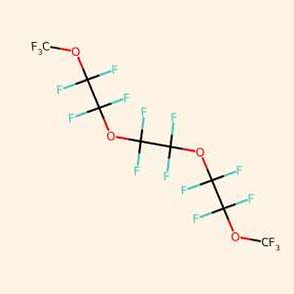 FC(F)(F)OC(F)(F)C(F)(F)OC(F)(F)C(F)(F)OC(F)(F)C(F)(F)OC(F)(F)F